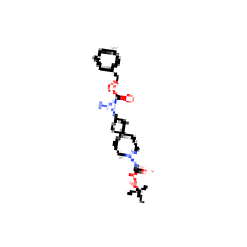 CC(C)(C)OC(=O)N1CCC2(CC1)CC(NC(=O)OCc1ccccc1)C2